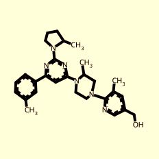 Cc1cccc(-c2cc(N3CCN(c4ncc(CO)cc4C)CC3C)nc(N3CCCC3C)n2)c1